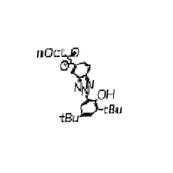 CCCCCCCCS(=O)(=O)c1ccc2nn(-c3cc(C(C)(C)C)cc(C(C)(C)C)c3O)nc2c1